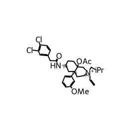 C=CC[N@@+]1(CC(C)C)CC[C@]2(c3cccc(OC)c3)C[C@H](NC(=O)Cc3ccc(Cl)c(Cl)c3)CCC2(OC(C)=O)C1